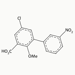 COc1c(C(=O)O)cc(Cl)cc1-c1cccc([N+](=O)[O-])c1